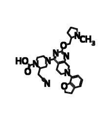 CN1CCCC1COc1nc2c(c(N3CCN(C(=O)O)C(CC#N)C3)n1)CCN(c1cccc3c1OCC3)C2